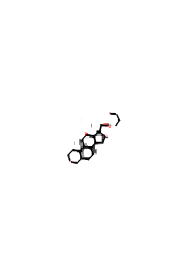 CC1CC[C@@]2(OC1)O[C@H]1C[C@H]3[C@@H]4CCC5CC(O)CC[C@]5(C)[C@H]4CC(=O)[C@]3(C)[C@H]1[C@@H]2C